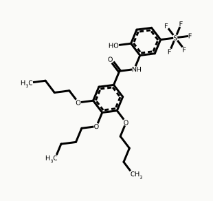 CCCCOc1cc(C(=O)Nc2cc(S(F)(F)(F)(F)F)ccc2O)cc(OCCCC)c1OCCCC